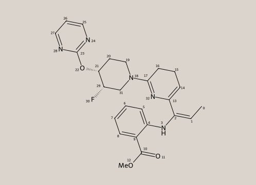 CC=C(Nc1ccccc1C(=O)OC)C1=CCCC(N2CC[C@@H](Oc3ncccn3)[C@@H](F)C2)=N1